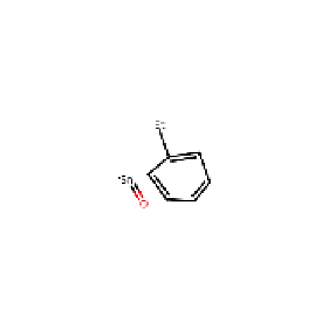 CCc1ccccc1.[O]=[Sn]